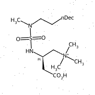 CCCCCCCCCCCCN(C)S(=O)(=O)N[C@H](CC(=O)O)C[N+](C)(C)C